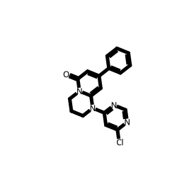 O=c1cc(-c2ccccc2)cc2n1CCCN2c1cc(Cl)ncn1